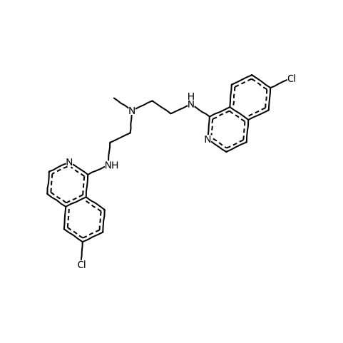 CN(CCNc1nccc2cc(Cl)ccc12)CCNc1nccc2cc(Cl)ccc12